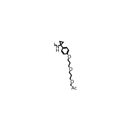 CC(=O)COCCCOCCCOc1ccc(C2(NI)CC2)cc1